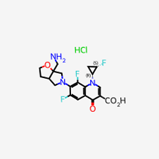 Cl.NCC12CN(c3c(F)cc4c(=O)c(C(=O)O)cn([C@@H]5C[C@@H]5F)c4c3F)CC1CCO2